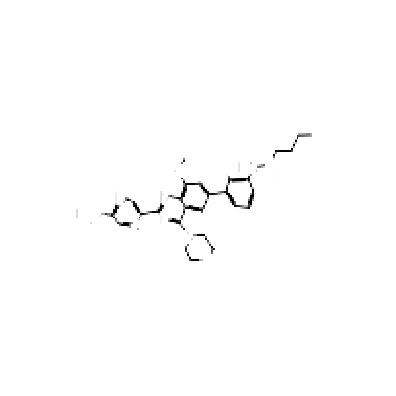 COc1cc(-c2cccc(N[S+]([O-])CCCF)c2F)cc2c(N3CCOCC3)nc(-c3cnc(N)cn3)nc12